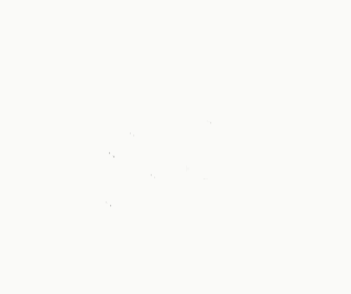 CCN(c1c(Cl)cccc1C(=O)O)S(=O)(=O)c1nc2nccc(C)n2n1